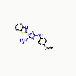 CSc1ccc(Nc2nc(N)n(-c3nc4ccccc4s3)n2)cc1